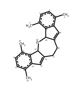 Cc1ccc(C)c2c1C=C1CCC3=Cc4c(C)ccc(C)c4[CH]3[Zr][CH]12